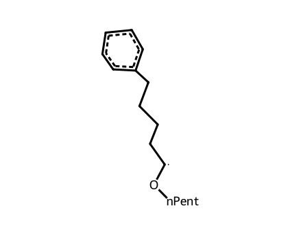 CCCCCO[CH]CCCCc1ccccc1